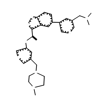 CN(C)Cc1cncc(-c2ccc3[nH]nc(C(=O)Nc4cncc(CN5CCN(C)CC5)c4)c3c2)c1